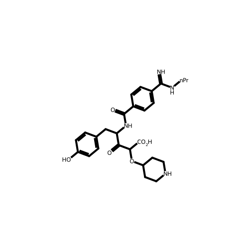 CCCNC(=N)c1ccc(C(=O)NC(Cc2ccc(O)cc2)C(=O)C(OC2CCNCC2)C(=O)O)cc1